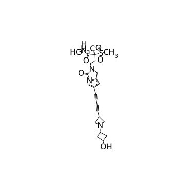 C[C@@](CCN1Cc2cc(C#CC#CC3CN([C@H]4C[C@H](O)C4)C3)cn2C1=O)(C(=O)NO)S(C)(=O)=O